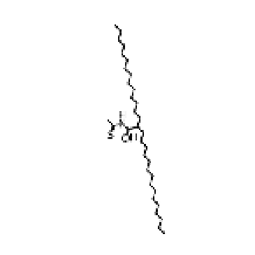 CCCCCCCCCCCCCCCC(CCCCCCCCCCCCCC)C(O)NC(C)=S